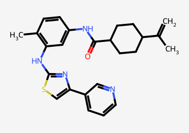 C=C(C)C1CCC(C(=O)Nc2ccc(C)c(Nc3nc(-c4cccnc4)cs3)c2)CC1